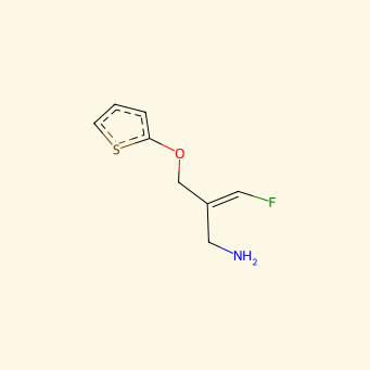 NCC(=CF)COc1cccs1